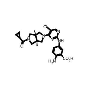 C[C@@]12CN(C(=O)C3CC3)C[C@]1(C)CN(c1nc(Nc3ccc(N)c(C(=O)O)c3)ncc1Cl)C2